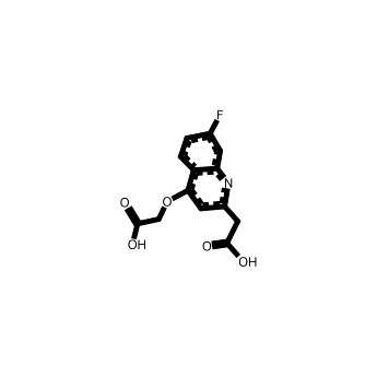 O=C(O)COc1cc(CC(=O)O)nc2cc(F)ccc12